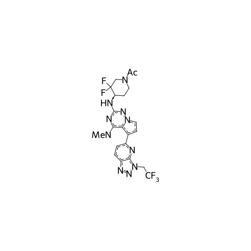 CNc1nc(N[C@@H]2CCN(C(C)=O)CC2(F)F)nn2ccc(-c3ccc4nnn(CC(F)(F)F)c4n3)c12